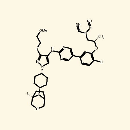 COCCOc1nn([C@H]2CC[C@H](N3C4CC[C@@H]3COC4)CC2)cc1Nc1ncc(-c2ccc(Cl)c(O[C@@H](C)CN(C=N)N=N)c2)cn1